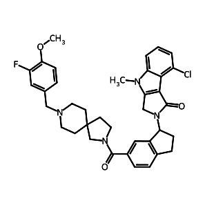 COc1ccc(CN2CCC3(CC2)CCN(C(=O)c2ccc4c(c2)C(N2Cc5c(c6c(Cl)cccc6n5C)C2=O)CC4)C3)cc1F